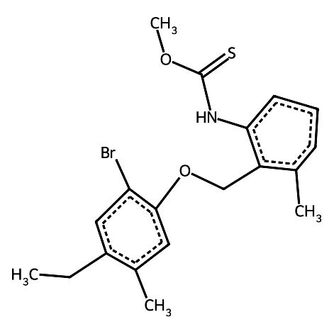 CCc1cc(Br)c(OCc2c(C)cccc2NC(=S)OC)cc1C